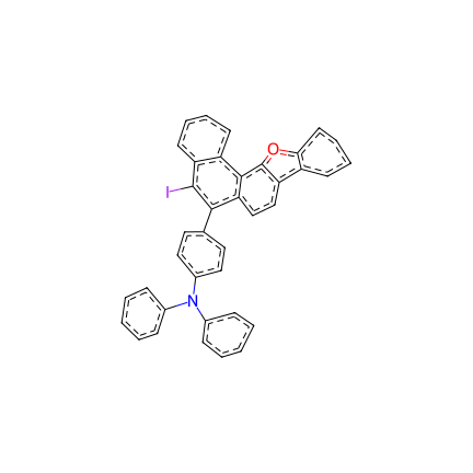 Ic1c(-c2ccc(N(c3ccccc3)c3ccccc3)cc2)c2ccc3c4ccccc4oc3c2c2ccccc12